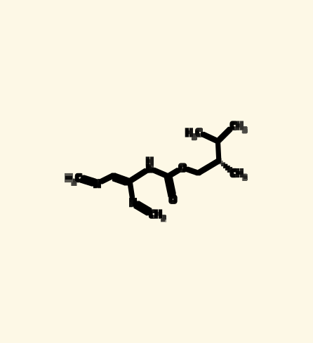 C=N/C=C(\N=C)NC(=O)OC[C@@H](C)C(C)C